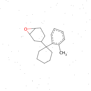 Cc1ccccc1C1(C2CCC3OC3C2)CCCCC1